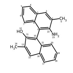 Cc1cc2ccccc2c(-c2c(O)c(C)cc3ccccc23)c1N